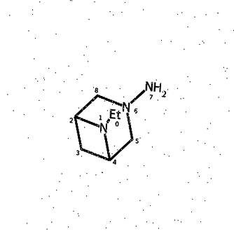 CCN1C2CC1CN(N)C2